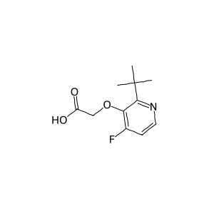 CC(C)(C)c1nccc(F)c1OCC(=O)O